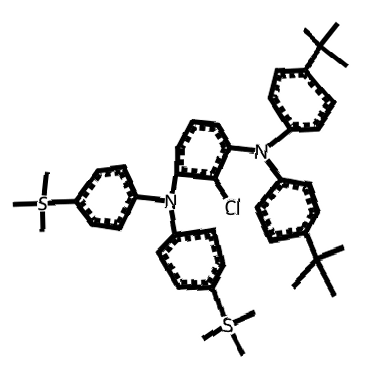 CC(C)(C)c1ccc(N(c2ccc(C(C)(C)C)cc2)c2cccc(N(c3ccc(S(C)(C)C)cc3)c3ccc(S(C)(C)C)cc3)c2Cl)cc1